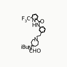 CCC(C)N(C=O)[C@H]1CCCN(CCc2cccc(NC(=O)c3cccc(C(F)(F)F)n3)c2)CC1